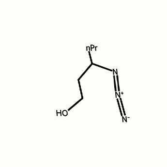 CCCC(CCO)N=[N+]=[N-]